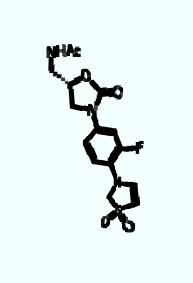 CC(=O)NC[C@H]1CN(c2ccc(N3C=CS(=O)(=O)C3)c(F)c2)C(=O)O1